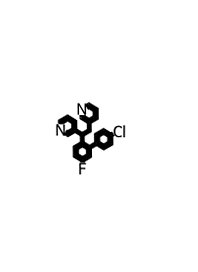 Fc1ccc(C(Cc2cccnc2)c2cccnc2)c(-c2ccc(Cl)cc2)c1